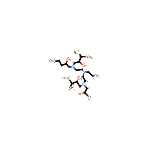 CCCCCCCCCCCCC(O)CN(CCN(CCN)CCN(CC(O)CC)CC(O)C(C)CCCCCCCCCC)CC(O)C(C)CCCCCCCCCC